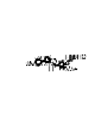 COc1cc(CC(=O)Nc2cccc(C3CCC(C(C)(C)C)CC3)c2)ccc1OCCNC=O